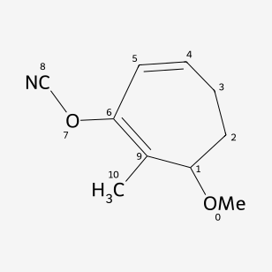 COC1CCC=CC(OC#N)=C1C